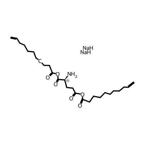 C=CCCCCCCCCC(=O)OC(=O)CC[C@H](N)C(=O)OC(=O)CCCCCCCCC=C.[NaH].[NaH]